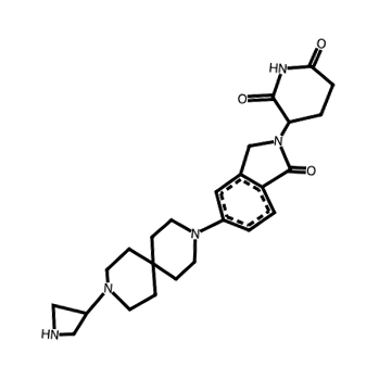 O=C1CCC(N2Cc3cc(N4CCC5(CC4)CCN(C4CNC4)CC5)ccc3C2=O)C(=O)N1